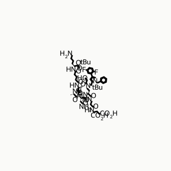 C[C@H](NC(=O)CCCC(=O)N[C@@H](CCCCN)C(=O)OC(C)(C)C)C(=O)N(C)[C@@H](C)C(=O)N[C@@H](CC(N)=O)C(=O)N[C@@H](CCN(C(=O)CO)[C@@H](c1cc(-c2cc(F)ccc2F)cn1Cc1ccccc1)C(C)(C)C)C(=O)NCCC(=O)N[C@H](CCC(=O)O)C(=O)O